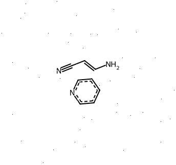 N#CC=CN.c1ccncc1